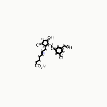 O=C(O)CCC/C=C/C[C@@H]1[C@@H](COc2cc(Cl)cc(CO)c2)[C@H](O)C[C@H]1Cl